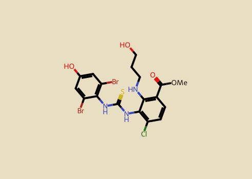 COC(=O)c1ccc(Cl)c(NC(=S)Nc2c(Br)cc(O)cc2Br)c1NCCCO